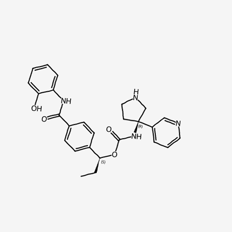 CC[C@H](OC(=O)N[C@@]1(c2cccnc2)CCNC1)c1ccc(C(=O)Nc2ccccc2O)cc1